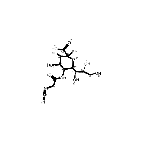 [N-]=[N+]=NCC(=O)NC1C(O)C(F)C(F)(C(=O)O)OC1[C@H](O)[C@H](O)CO